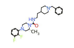 C[C@@H]1CN(c2cccc(F)c2F)CCN1C(=O)NCCC1CCN(Cc2ccccc2)CC1